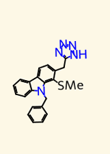 CSc1c(Cc2nnn[nH]2)ccc2c3ccccc3n(Cc3ccccc3)c12